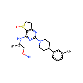 CC(C)[C@H](CON)Nc1nc(N2CCC(c3cccc(C#N)c3)CC2)nc2c1[S+]([O-])CC2